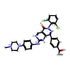 CNC(=O)c1ccc(-c2nn(-c3c(Cl)cccc3Cl)c(=O)c3cnc(Nc4ccc(N5CCN(C)CC5)cc4)nc23)cc1